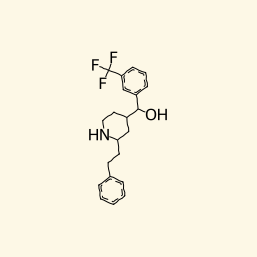 OC(c1cccc(C(F)(F)F)c1)C1CCNC(CCc2ccccc2)C1